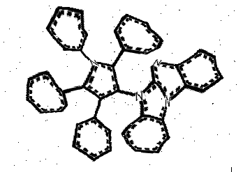 c1ccc(-c2c(-n3c4ccccc4n4c5ccccc5nc34)c(-c3ccccc3)n(-c3ccccc3)c2-c2ccccc2)cc1